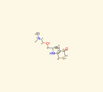 CCN(C)CCOCCNC1=C(C(C)(C)C)C(=O)CSC1